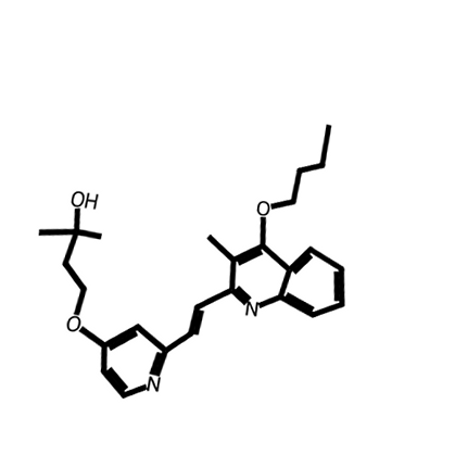 CCCCOc1c(C)c(/C=C/c2cc(OCCC(C)(C)O)ccn2)nc2ccccc12